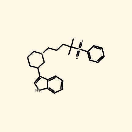 CC(C)(CCCN1CCCC(c2c[nH]c3ccccc23)C1)S(=O)(=O)c1ccccc1